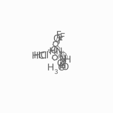 CS(=O)(=O)C[C@@H]1C[C@]2(c3ccccc3)N[C@H]1CC[C@H]2NCc1cc(OC(F)(F)F)ccc1OC1CC1.Cl.Cl